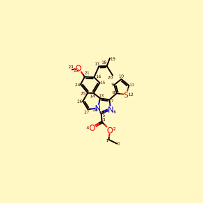 CCOC(=O)c1nc(-c2cccs2)c2c3cc(C=C(C)C)c(OC)cc3ccn12